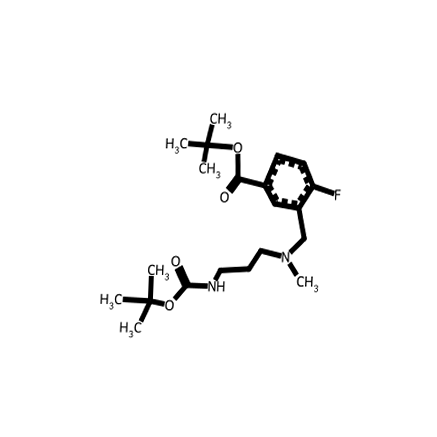 CN(CCCNC(=O)OC(C)(C)C)Cc1cc(C(=O)OC(C)(C)C)ccc1F